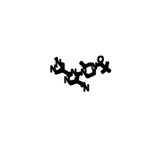 CC1CN(C(=O)C(C)(C)C)CCN1c1nc(-c2cnn(C)c2)ncc1C#N